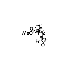 COC(=O)NC1CCC(C)(C)[C@@H]2CC[C@]3(C)[C@H](CC[C@@H]4C5=C(C(C)C)C(=O)C[C@]5(C)CC[C@]43C)[C@@]12C